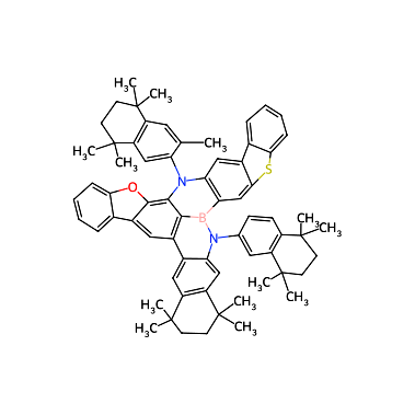 Cc1cc2c(cc1N1c3cc4c(cc3B3c5c(cc6c(oc7ccccc76)c51)-c1cc5c(cc1N3c1ccc3c(c1)C(C)(C)CCC3(C)C)C(C)(C)CCC5(C)C)sc1ccccc14)C(C)(C)CCC2(C)C